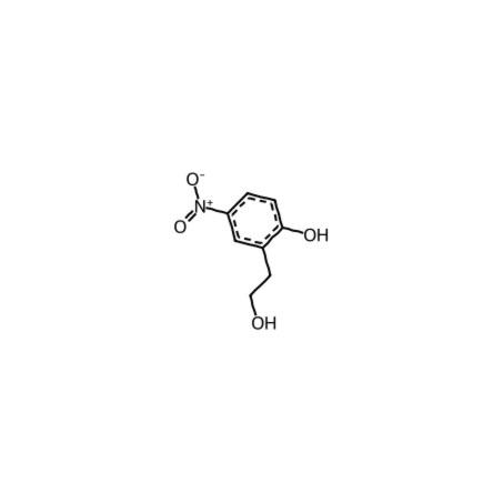 O=[N+]([O-])c1ccc(O)c(CCO)c1